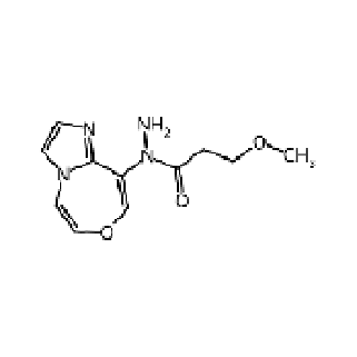 COCCC(=O)N(N)C1=COC=Cn2ccnc21